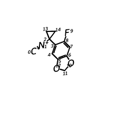 [C-]#[N+]C1(c2cc3c(cc2F)OCO3)CC1